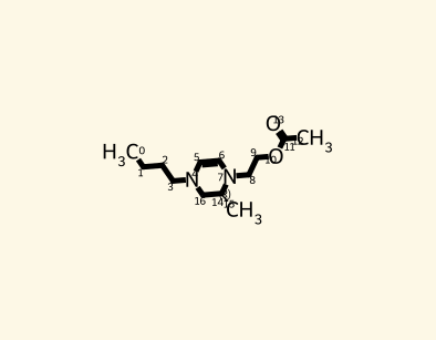 CCCCN1C=CN(CCOC(C)=O)[C@H](C)C1